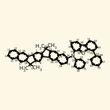 CC1(C)c2cc3c(cc2-c2cc4ccccc4cc21)C(C)(C)c1cc2cc(N(c4ccccc4)c4cccc5c4oc4c(-c6ccccc6)cccc45)ccc2cc1-3